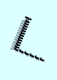 CCC=CC(=O)O.CCC=CC(=O)O.CCC=CC(=O)O.CCC=CC(=O)O.CCC=CC(=O)O.CCC=CC(=O)O.CCC=CC(=O)O.CCC=CC(=O)O.CCC=CC(=O)O.CCC=CC(=O)O.CCC=CC(=O)O.CCC=CC(=O)O.CCC=CC(=O)O.CCC=CC(=O)O.CCC=CC(=O)O.CCC=CC(=O)O.CCC=CC(=O)O.CCC=CC(=O)O.CCC=CC(=O)OCC